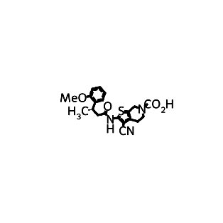 COc1ccccc1[C@@H](C)CC(=O)Nc1sc2c(c1C#N)CCN(C(=O)O)C2